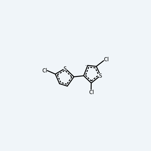 Clc1[c]c(-c2ccc(Cl)s2)c(Cl)s1